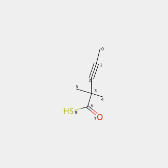 CC#CC(C)(C)C(=O)S